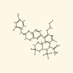 CCOCc1nc(C)c(C(OC(C)(C)C)C(=O)O)c(N2CCC(C)(C)CC2)c1-c1ccc2c(c1)CCN(Cc1ccc(F)cc1C)C2